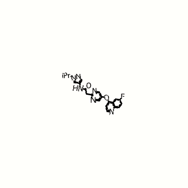 CC(C)n1cc(NC(=O)Cc2ncc(Oc3ccnc4ccc(F)cc34)cn2)cn1